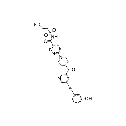 O=C(NS(=O)(=O)CCC(F)(F)F)c1ccc(N2CCN(C(=O)c3cncc(C#Cc4cccc(O)c4)c3)CC2)nn1